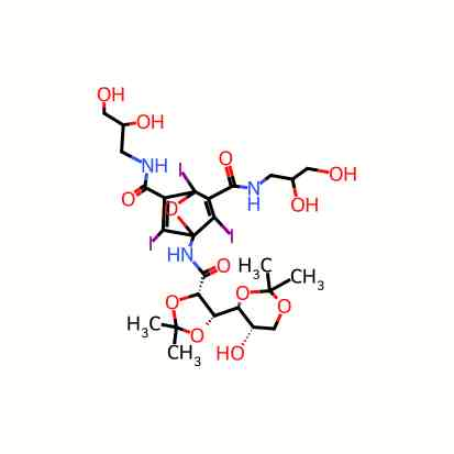 CC1(C)OC[C@H](O)[C@H]([C@@H]2OC(C)(C)O[C@@H]2C(=O)NC23OC(I)(C(C(=O)NCC(O)CO)=C2I)C(C(=O)NCC(O)CO)=C3I)O1